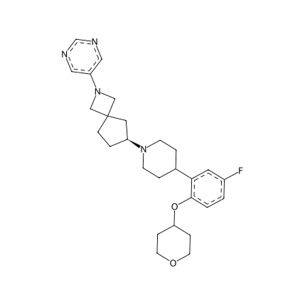 Fc1ccc(OC2CCOCC2)c(C2CCN([C@H]3CCC4(C3)CN(c3cncnc3)C4)CC2)c1